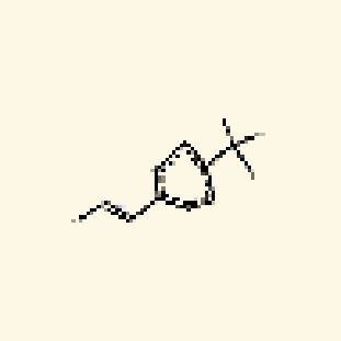 [CH2]/C=C/c1ccc(C(F)(F)F)cc1